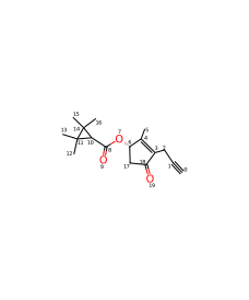 C#CCC1=C(C)[C@@H](OC(=O)C2C(C)(C)C2(C)C)CC1=O